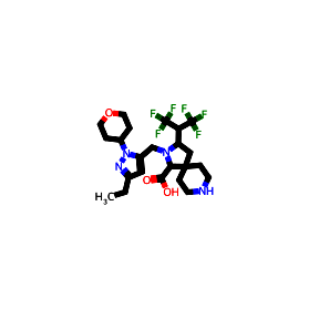 CCc1cc(CN2C(C(C(F)(F)F)C(F)(F)F)CC3(CCNCC3)C2C(=O)O)n(C2CCOCC2)n1